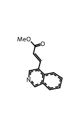 COC(=O)C=Cc1cncc2ccccc12